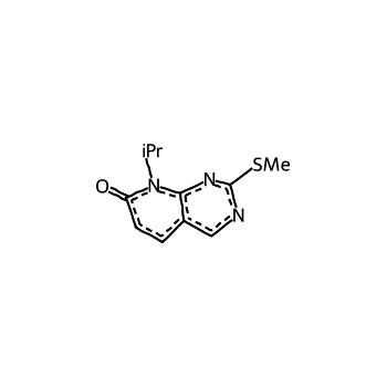 CSc1ncc2ccc(=O)n(C(C)C)c2n1